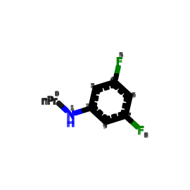 CCCNc1cc(F)cc(F)c1